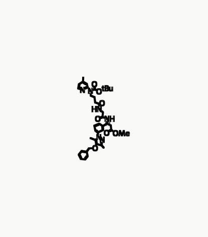 COC(=O)C[C@H](NC(=O)CNC(=O)CCCN(C(=O)OC(C)(C)C)c1cc(C)ccn1)c1cccc(-n2nc(C)c(OCc3ccccc3)c2C)c1